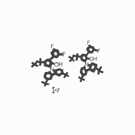 CC(C)(C)CC(C)(C)c1cc(-c2cc(F)cc(F)c2)c(O)c(-n2c3ccc(C(C)(C)C)cc3c3cc(C(C)(C)C)ccc32)c1.CC(C)(C)CC(C)(C)c1cc(-c2cc(F)cc(F)c2)c(O)c(-n2c3ccc(C(C)(C)C)cc3c3cc(C(C)(C)C)ccc32)c1.[CH3][Hf][CH3]